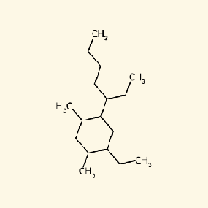 CCCCC(CC)C1CC(CC)C(C)CC1C